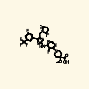 COC1(C(=O)O)CCN(c2ncnc(Nc3nc(-c4cc(F)cc(C(F)(F)F)c4)c(CN4[C@H](C)CC[C@H]4C)s3)c2F)CC1